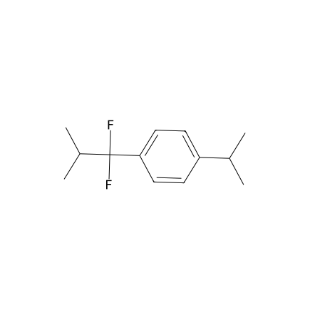 CC(C)c1ccc(C(F)(F)C(C)C)cc1